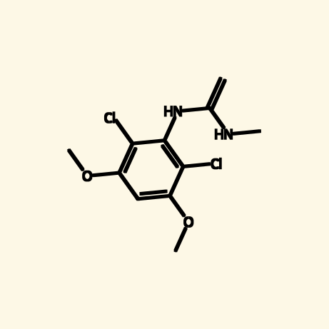 C=C(NC)Nc1c(Cl)c(OC)cc(OC)c1Cl